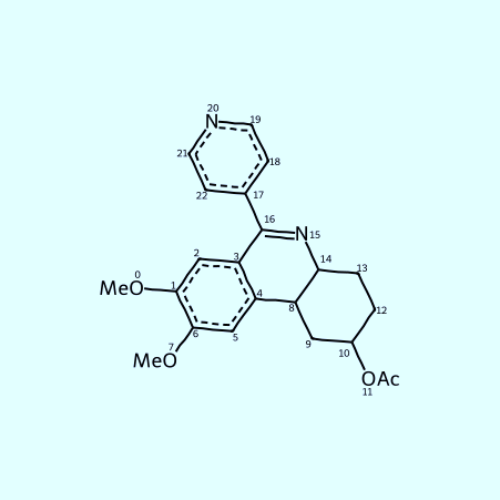 COc1cc2c(cc1OC)C1CC(OC(C)=O)CCC1N=C2c1ccncc1